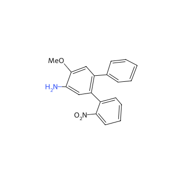 COc1cc(-c2ccccc2)c(-c2ccccc2[N+](=O)[O-])cc1N